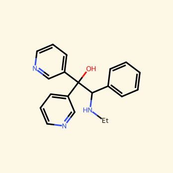 CCNC(c1ccccc1)C(O)(c1cccnc1)c1cccnc1